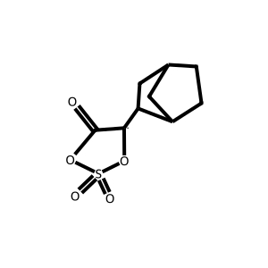 O=C1OS(=O)(=O)O[C]1C1CC2CCC1C2